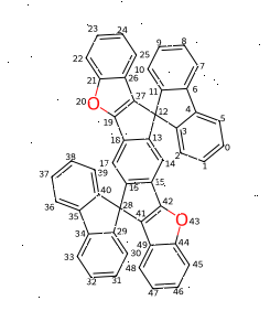 c1ccc2c(c1)-c1ccccc1C21c2cc3c(cc2-c2oc4ccccc4c21)C1(c2ccccc2-c2ccccc21)c1c-3oc2ccccc12